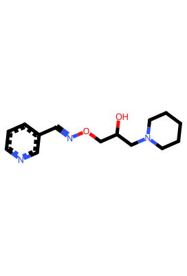 OC(CON=[C]c1cccnc1)CN1CCCCC1